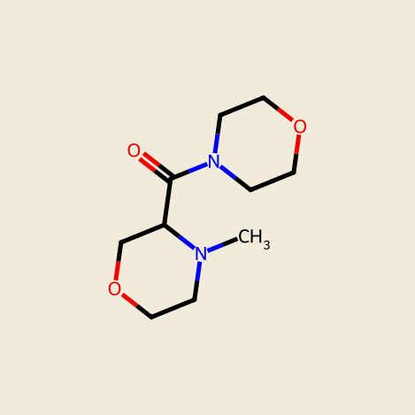 CN1CCOCC1C(=O)N1CCOCC1